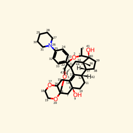 CC1OCCOC23C[C@@]4(O)CC[C@@H]5C(=C4CC2OCCO3)[C@@H](c2ccc(N3CCCCC3)cc2)C[C@@]2(C)[C@@H]5CC[C@@]12O